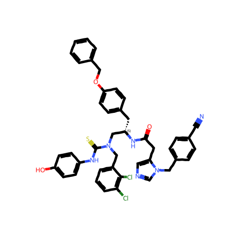 N#Cc1ccc(Cn2cncc2CC(=O)N[C@@H](Cc2ccc(OCc3ccccc3)cc2)CN(Cc2cccc(Cl)c2Cl)C(=S)Nc2ccc(O)cc2)cc1